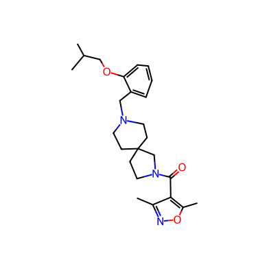 Cc1noc(C)c1C(=O)N1CCC2(CCN(Cc3ccccc3OCC(C)C)CC2)C1